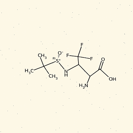 CC(C)(C)[S@+]([O-])NC(C(N)C(=O)O)C(F)(F)F